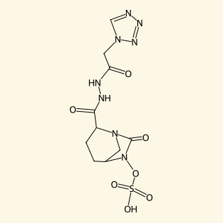 O=C(Cn1cnnn1)NNC(=O)C1CCC2CN1C(=O)N2OS(=O)(=O)O